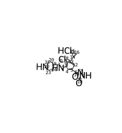 C[C@H](Nc1cc(-c2n[nH]c(=O)o2)cc(C2CC2)c1Cl)C1CCNCC1.Cl